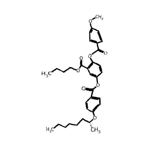 CCCCCC[C@@H](C)Oc1ccc(C(=O)Oc2ccc(OC(=O)c3ccc(OC)cc3)c(C(=O)OCCCC)c2)cc1